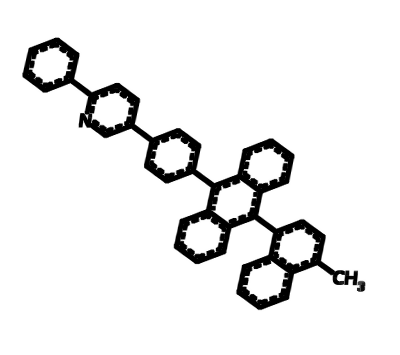 Cc1ccc(-c2c3ccccc3c(-c3ccc(-c4ccc(-c5ccccc5)nc4)cc3)c3ccccc23)c2ccccc12